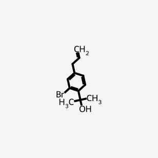 C=CCc1ccc(C(C)(C)O)c(Br)c1